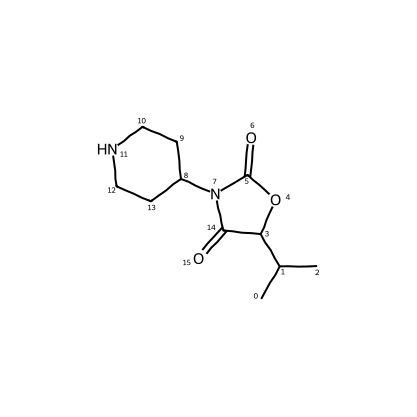 CC(C)C1OC(=O)N(C2CCNCC2)C1=O